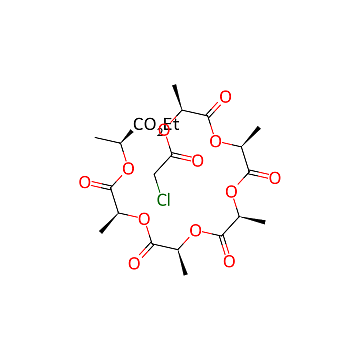 CCOC(=O)[C@H](C)OC(=O)[C@H](C)OC(=O)[C@H](C)OC(=O)[C@H](C)OC(=O)[C@H](C)OC(=O)[C@H](C)OC(=O)CCl